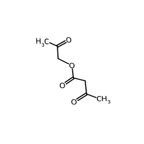 CC(=O)COC(=O)CC(C)=O